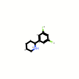 Fc1[c]c(F)cc(C2CCCCN2)c1